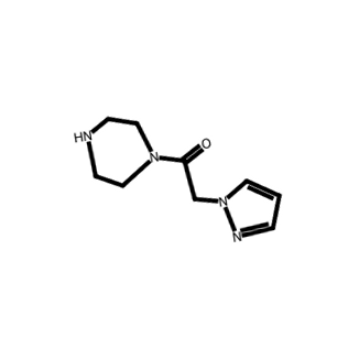 O=C(Cn1cccn1)N1CCNCC1